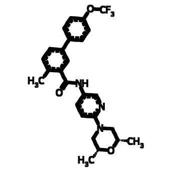 Cc1ccc(-c2ccc(OC(F)(F)F)cc2)cc1C(=O)Nc1ccc(N2C[C@@H](C)O[C@@H](C)C2)nc1